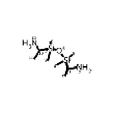 CC(N)[Si](C)(C)O[Si](C)(C)C(C)N